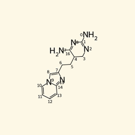 NC1=NCC(CCc2cn3ccccc3n2)C(N)=N1